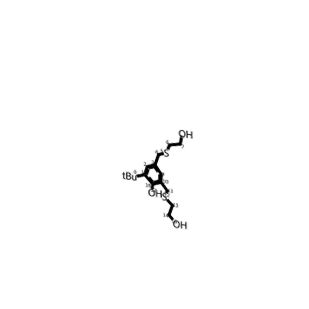 CC(C)(C)c1cc(CSCCO)cc(CSCCO)c1O